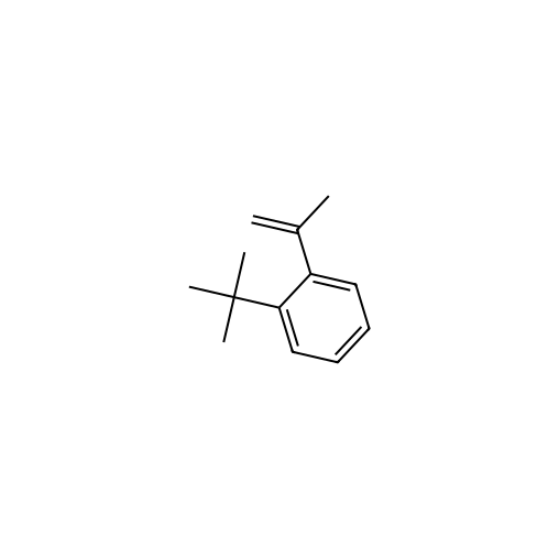 C=C(C)c1ccccc1C(C)(C)C